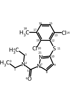 CCN(CC)C(=O)n1ccc(Sc2c(Cl)ccc(C)c2Cl)n1